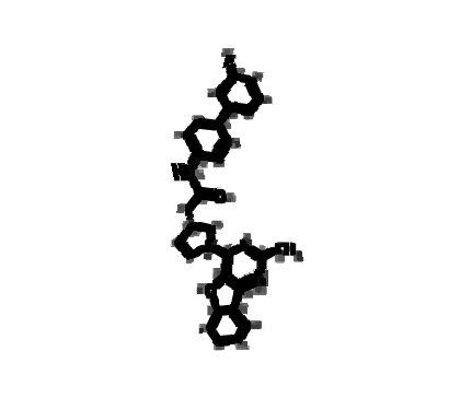 Cc1nc(N2CC[C@H](CC(=O)Nc3ccc(-c4cccc(F)c4)cc3)C2)c2oc3ccccc3c2n1